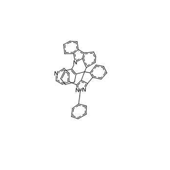 C1=CC2=C(CC1)C1(c3ccccc3-c3nc(-c4ccccc4)nc(-c4ccncc4)c31)c1cccc3c4ccccc4n2c13